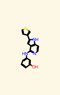 Oc1cccc(Nc2nccc3[nH]c(-c4ccsc4)cc23)c1